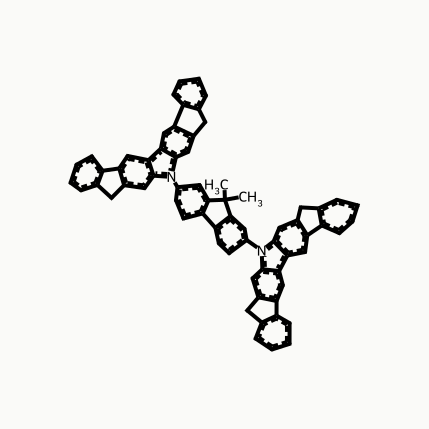 CC1(C)c2cc(-n3c4cc5c(cc4c4cc6c(cc43)Cc3ccccc3-6)-c3ccccc3C5)ccc2-c2ccc(-n3c4cc5c(cc4c4cc6c(cc43)Cc3ccccc3-6)-c3ccccc3C5)cc21